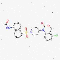 CC(=O)Nc1cccc2c(S(=O)(=O)N3CCC(N4C(=O)OCc5c(Cl)cccc54)CC3)cccc12